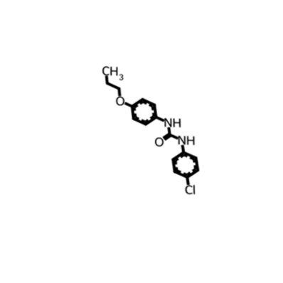 CCCOc1ccc(NC(=O)Nc2ccc(Cl)cc2)cc1